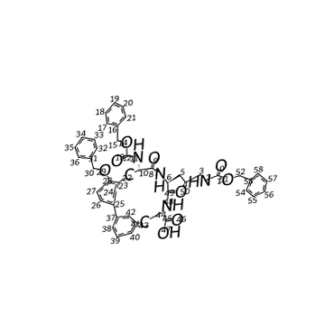 O=C(NCCC[C@@H]1NC(=O)[C@@H](NC(=O)OCc2ccccc2)Cc2cc(ccc2OCc2ccccc2)-c2cccc(c2)C[C@@H](C(=O)O)NC1=O)OCc1ccccc1